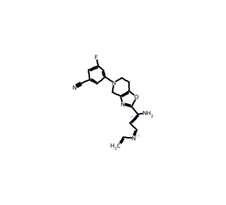 C=C/N=C\C=C(/N)c1nc2c(o1)CCN(c1cc(F)cc(C#N)c1)C2